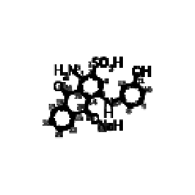 Nc1c(S(=O)(=O)O)cc(Nc2cccc(O)c2)c2c1C(=O)c1ccccc1C2=O.[NaH]